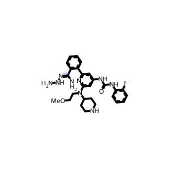 COCCN(c1cc(NC(=O)Nc2ccccc2F)cc(-c2ccccc2/C(N)=N/NN)n1)C1CCNCC1